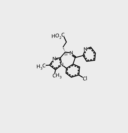 Cc1nc2n(c1C)-c1ccc(Cl)cc1C(c1ccccn1)=N[C@H]2CCC(=O)O